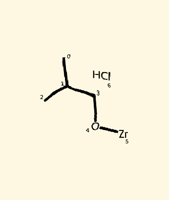 CC(C)C[O][Zr].Cl